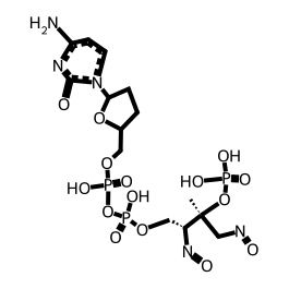 C[C@@](CN=O)(OP(=O)(O)O)[C@@H](COP(=O)(O)OP(=O)(O)OCC1CCC(n2ccc(N)nc2=O)O1)N=O